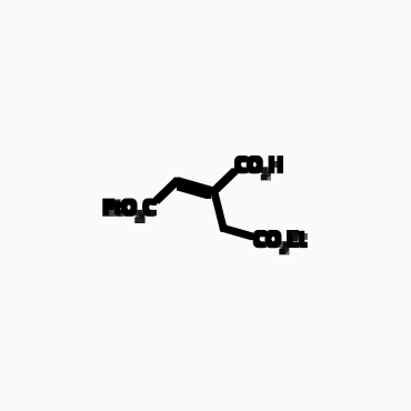 CCOC(=O)C=C(CC(=O)OCC)C(=O)O